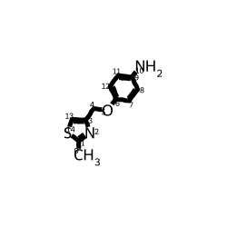 Cc1nc(COc2ccc(N)cc2)cs1